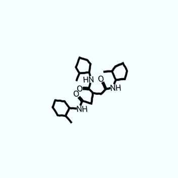 CC1CCCCC1NC(=O)CC(CC(=O)NC1CCCCC1C)C(=O)NC1CCCCC1C